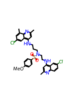 COc1ccc(S(=O)(=O)N(CCCNc2cc(C)nc3c(C)cc(Cl)cc23)CCNc2cc(C)nc3ccc(Cl)cc23)cc1